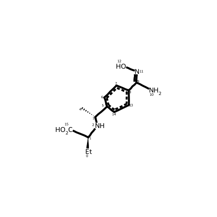 CC[C@H](N[C@H](C)c1ccc(/C(N)=N\O)cc1)C(=O)O